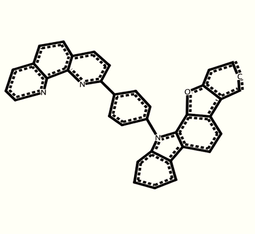 c1cnc2c(c1)ccc1ccc(-c3ccc(-n4c5ccccc5c5ccc6c7ccccc7oc6c54)cc3)nc12